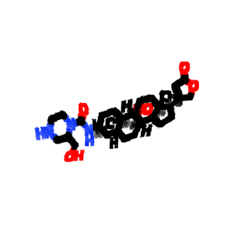 C[C@]12CC[C@H](NC(=O)N3CCNCC3CO)C[C@H]1CC[C@@H]1[C@@H]2CC[C@]2(C)[C@@H](C3=CC(=O)OC3)CC[C@]12O